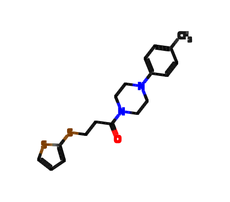 O=C(CCSc1cccs1)N1CCN(c2ccc(C(F)(F)F)cc2)CC1